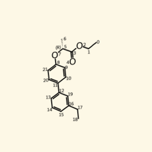 CCOC(=O)[C@@H](C)Oc1ccc(-c2cccc(CC)c2)cc1